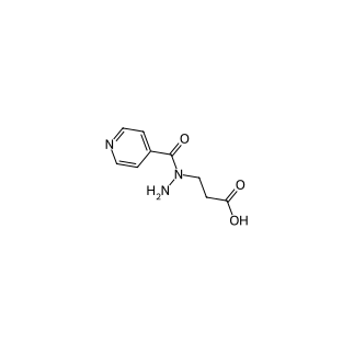 NN(CCC(=O)O)C(=O)c1ccncc1